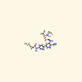 CC1C[C@@H]1C(=O)Nc1cnc(-c2cnc(C#N)c(N[C@H](C=O)CN(C)CC(F)F)c2)cn1